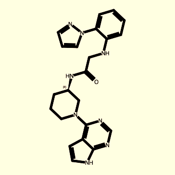 O=C(CNc1ccccc1-n1cccn1)N[C@@H]1CCCN(c2ncnc3[nH]ccc23)C1